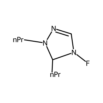 CCCC1N(F)C=NN1CCC